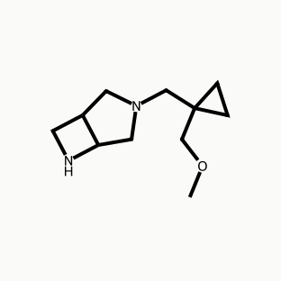 COCC1(CN2CC3CNC3C2)CC1